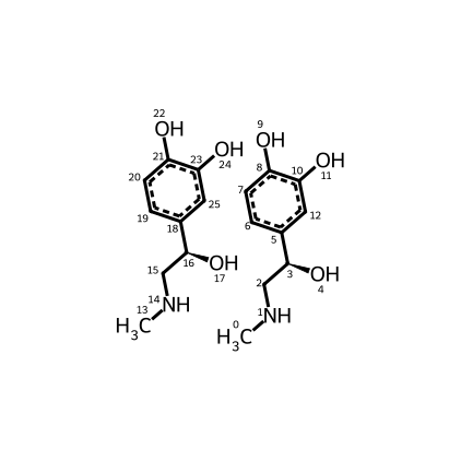 CNC[C@H](O)c1ccc(O)c(O)c1.CNC[C@H](O)c1ccc(O)c(O)c1